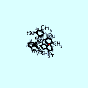 CCC1=C2c3c(C(C)C)cccc3[CH]1[Zr]([O]c1ccc(C)cc1C(C)(C)C)([O]c1ccc(C)cc1C(C)(C)C)[CH]1C(CC)=C(c3c(C(C)C)cccc31)[Si]2(C)C